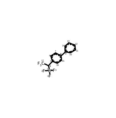 F[B-](F)(F)C(c1ccc(-c2ccccc2)cc1)C(F)(F)F